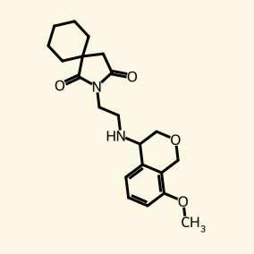 COc1cccc2c1COCC2NCCN1C(=O)CC2(CCCCC2)C1=O